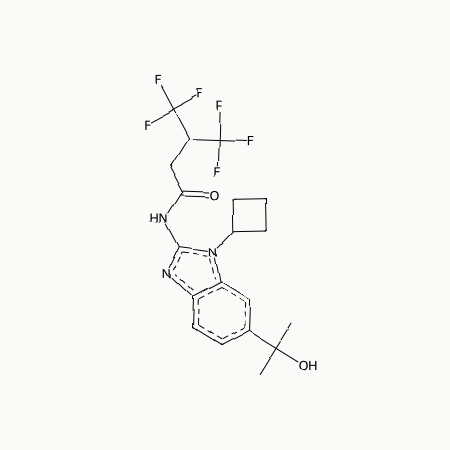 CC(C)(O)c1ccc2nc(NC(=O)CC(C(F)(F)F)C(F)(F)F)n(C3CCC3)c2c1